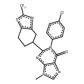 Cn1cnc2c(=O)n(-c3ccc(Cl)cc3)c(C3CCc4sc(C(F)(F)F)nc4C3)nc21